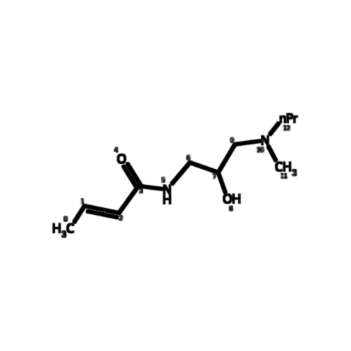 C/C=C/C(=O)NCC(O)CN(C)CCC